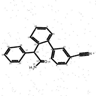 N#Cc1cccc(-c2ccccc2C(C(N)=O)c2ccccc2)c1